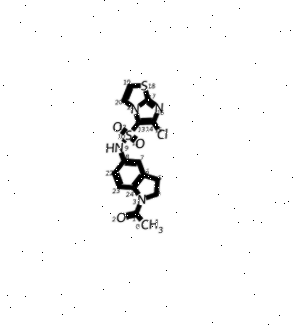 CC(=O)N1CCc2cc(NS(=O)(=O)c3c(Cl)nc4sccn34)ccc21